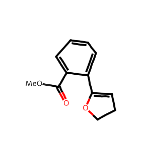 COC(=O)c1ccccc1C1=CCCO1